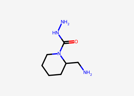 NCC1CCCCN1C(=O)NN